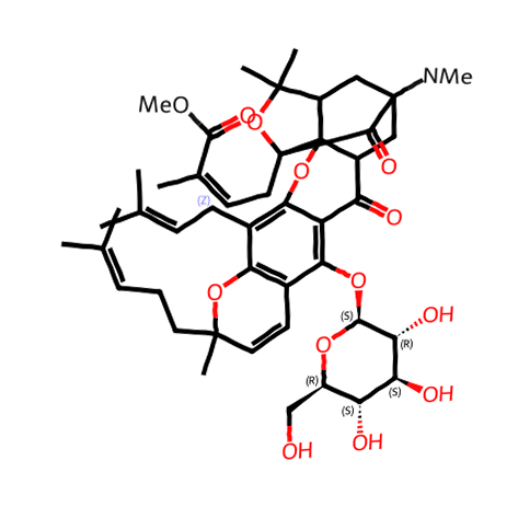 CNC12CC3C(=O)c4c(O[C@@H]5O[C@H](CO)[C@@H](O)[C@H](O)[C@H]5O)c5c(c(CC=C(C)C)c4OC34C(C1)C(C)(C)OC4(C/C=C(/C)C(=O)OC)C2=O)OC(C)(CCC=C(C)C)C=C5